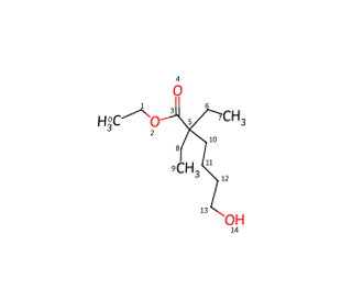 CCOC(=O)C(CC)(CC)CCCCO